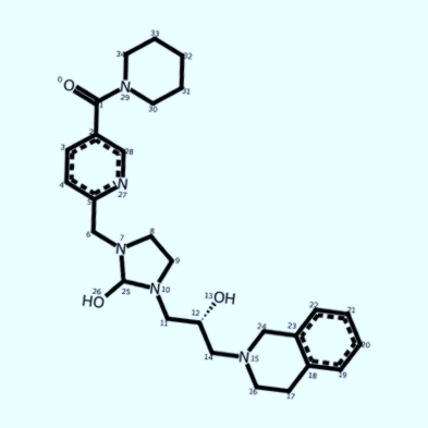 O=C(c1ccc(CN2CCN(C[C@H](O)CN3CCc4ccccc4C3)C2O)nc1)N1CCCCC1